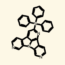 c1ccc([Si](c2ccccc2)(c2ccccc2)c2cc3c4ccncc4n4c5cnccc5c(n2)c34)cc1